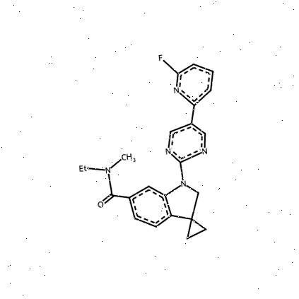 CCN(C)C(=O)c1ccc2c(c1)N(c1ncc(-c3cccc(F)n3)cn1)CC21CC1